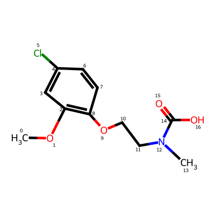 COc1cc(Cl)ccc1OCCN(C)C(=O)O